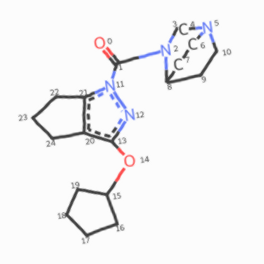 O=C(N1CCN2CCC1CC2)n1nc(OC2CCCC2)c2c1CCC2